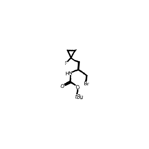 CC(C)(C)OC(=O)NC(CBr)CC1(F)CC1